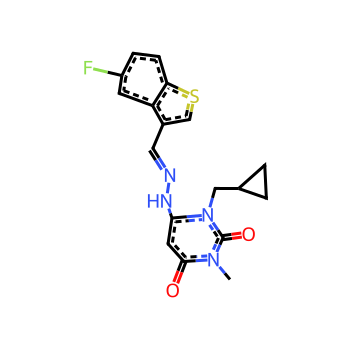 Cn1c(=O)cc(NN=Cc2csc3ccc(F)cc23)n(CC2CC2)c1=O